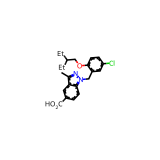 CCC(CC)COc1ccc(Cl)cc1Cn1nc(C)c2cc(C(=O)O)ccc21